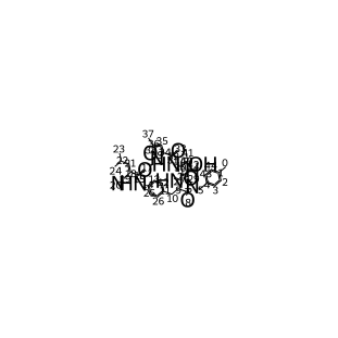 Cc1ccc(CNC(=O)C(Cc2ccc(NC(=O)C(C#N)=CC(C)C)cc2)NC(=O)[C@@H](NC(=O)c2cc(C)on2)[C@@H](C)O)cc1